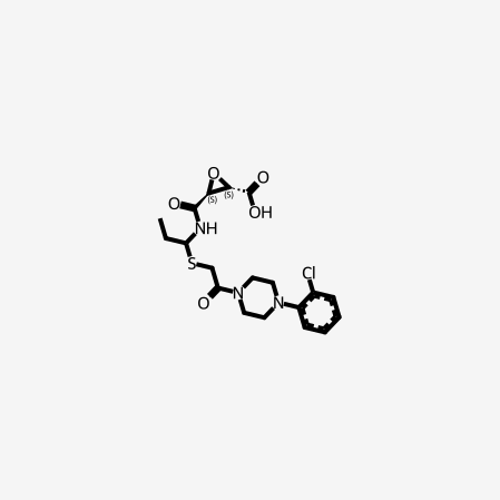 CCC(NC(=O)[C@H]1O[C@@H]1C(=O)O)SCC(=O)N1CCN(c2ccccc2Cl)CC1